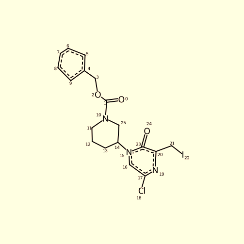 O=C(OCc1ccccc1)N1CCCC(n2cc(Cl)nc(CI)c2=O)C1